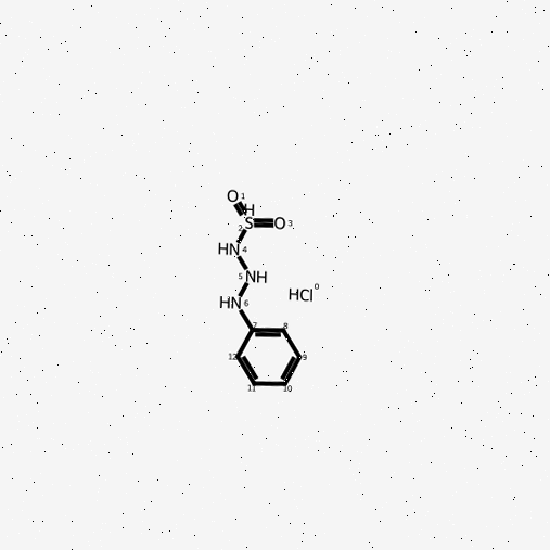 Cl.O=[SH](=O)NNNc1ccccc1